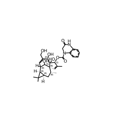 CC1=C[C@]23C(O)[C@@H](C=C(CO)[C@@H](O)[C@]2(O)[C@H]1OC(=O)N1CC(=O)Nc2ccccc21)[C@H]1[C@@H](C[C@H]3C)C1(C)C